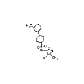 Cc1cccc(-c2ccc(S(=O)(=O)Nc3onc(C)c3Br)cc2)c1